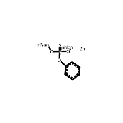 CCCCCCCCCOP(=S)(OCCCCCCCCC)Oc1ccccc1.[Zn]